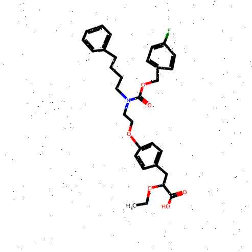 CCOC(Cc1ccc(OCCN(CCCCc2ccccc2)C(=O)OCc2ccc(F)cc2)cc1)C(=O)O